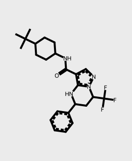 CC(C)(C)C1CCC(NC(=O)c2cnn3c2NC(c2ccccc2)CC3C(F)(F)F)CC1